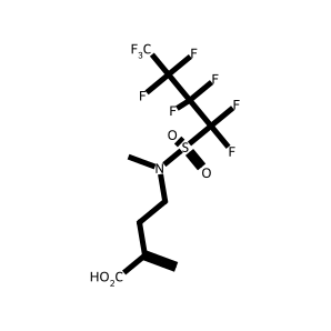 C=C(CCN(C)S(=O)(=O)C(F)(F)C(F)(F)C(F)(F)C(F)(F)F)C(=O)O